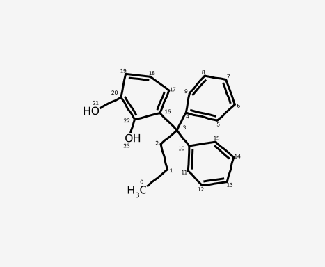 CCCC(c1ccccc1)(c1ccccc1)c1cccc(O)c1O